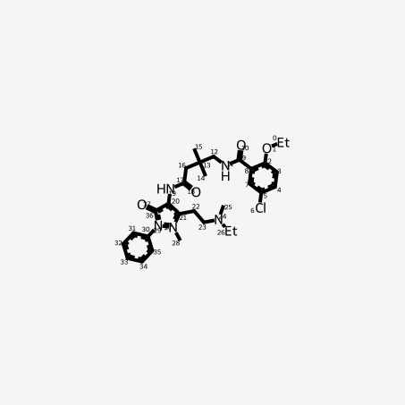 CCOc1ccc(Cl)cc1C(=O)NCC(C)(C)CC(=O)Nc1c(CCN(C)CC)n(C)n(-c2ccccc2)c1=O